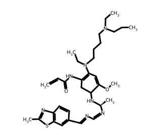 C=CC(=O)NC1=C(N(CC)CCCCN(CC)CCC)C=C(OC)C(N[C@@H](C)/N=C\N=C\c2ccc3nc(C)sc3c2)C1